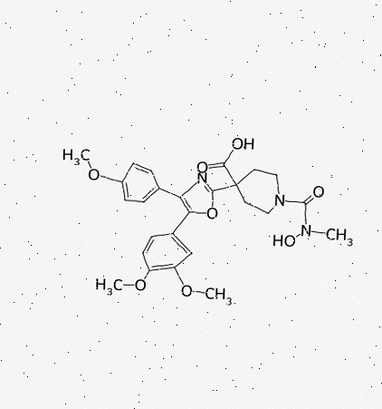 COc1ccc(-c2nc(C3(C(=O)O)CCN(C(=O)N(C)O)CC3)oc2-c2ccc(OC)c(OC)c2)cc1